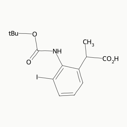 CC(C(=O)O)c1cccc(I)c1NC(=O)OC(C)(C)C